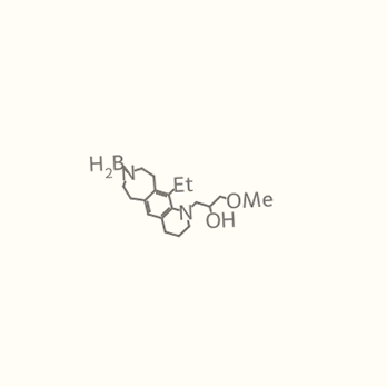 BN1CCc2cc3c(c(CC)c2CC1)N(CC(O)COC)CCC3